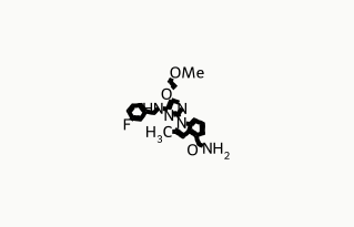 COCCOc1cnc(-n2c(C)cc3c(C(N)=O)cccc32)nc1NCc1cccc(F)c1